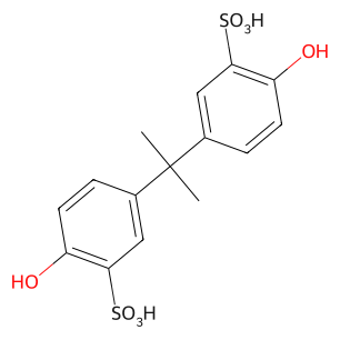 CC(C)(c1ccc(O)c(S(=O)(=O)O)c1)c1ccc(O)c(S(=O)(=O)O)c1